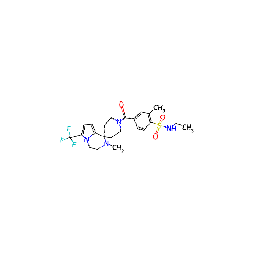 CCNS(=O)(=O)c1ccc(C(=O)N2CCC3(CC2)c2ccc(C(F)(F)F)n2CCN3C)cc1C